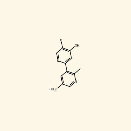 Cc1ncc(C(=O)O)cc1-c1cc(O)c(F)cn1